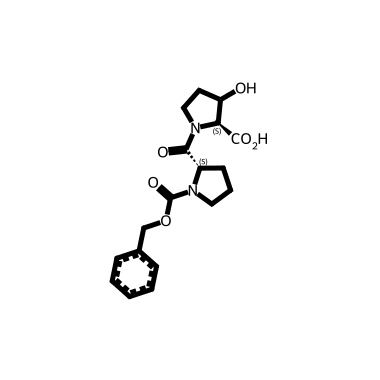 O=C(O)[C@@H]1C(O)CCN1C(=O)[C@@H]1CCCN1C(=O)OCc1ccccc1